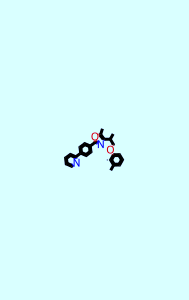 Cc1[c]c(OCC(C)c2nc(-c3ccc(-c4ccccn4)cc3)oc2C)ccc1